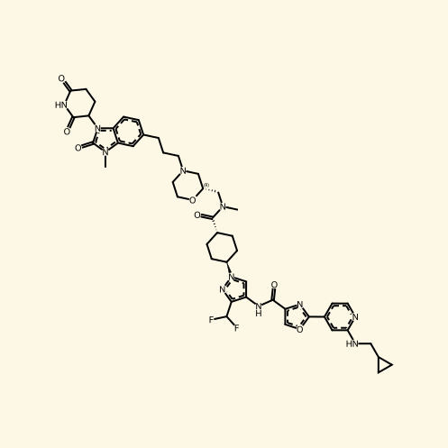 CN(C[C@H]1CN(CCCc2ccc3c(c2)n(C)c(=O)n3C2CCC(=O)NC2=O)CCO1)C(=O)[C@H]1CC[C@H](n2cc(NC(=O)c3coc(-c4ccnc(NCC5CC5)c4)n3)c(C(F)F)n2)CC1